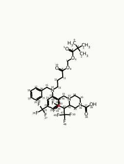 CC(C)(C)C(=O)OCOC(=O)CCCN(Cc1ccccc1)c1cc(C(F)(F)F)ccc1CN1CCN(C(=O)O)CC1C(C(F)(F)F)C(F)(F)F